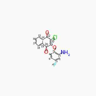 Nc1cc(F)ccc1OC1=C(Cl)C(=O)c2ccccc2C1=O